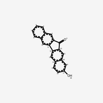 O=C1c2cc3ccccc3cc2-c2cc3ccc(O)cc3cc21